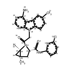 C[C@@]12C[C@@H](C(=O)Nc3cccc(Cl)n3)N(C(=O)Cn3c4ccc(C(F)(F)F)cc4c4c(N)ncnc43)[C@@H]1C2